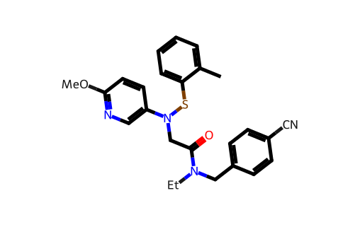 CCN(Cc1ccc(C#N)cc1)C(=O)CN(Sc1ccccc1C)c1ccc(OC)nc1